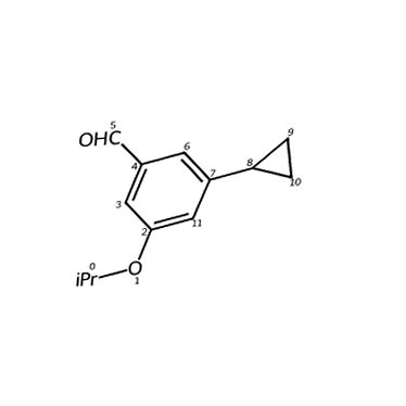 CC(C)Oc1cc(C=O)cc(C2CC2)c1